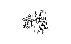 CC#CC1(N)[C@@H](O)[C@@H]([C@H](C)OP(=O)(O)OP(=O)(O)OP(=O)(O)O)O[C@H]1n1cnc2c(=S)[nH]c(N)nc21